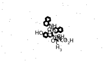 C[C@@H](C(=O)N[C@@H](Cc1ccc(O)cc1)C(=O)N1Cc2ccccc2C[C@H]1C(=O)N[C@@H]1CCCc2ccccc21)N(C)C(=O)O